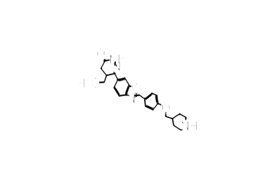 CCC1CC(=O)NN=C1c1ccc2nc(-c3ccc(OCC4CCNCC4)cc3)oc2c1